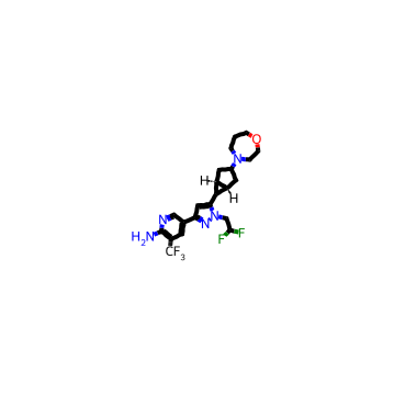 Nc1ncc(-c2cc(C3[C@H]4CC(N5CCCOCC5)C[C@@H]34)n(CC(F)F)n2)cc1C(F)(F)F